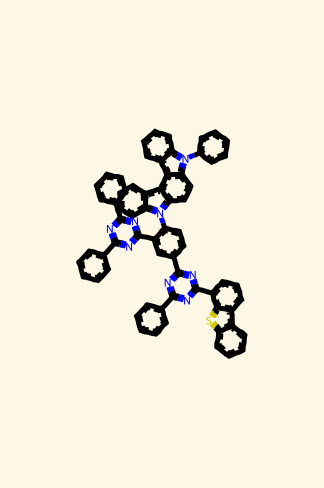 c1ccc(-c2nc(-c3ccccc3)nc(-c3cc(-c4nc(-c5ccccc5)nc(-c5cccc6c5sc5ccccc56)n4)ccc3-n3c4ccccc4c4c5c6ccccc6n(-c6ccccc6)c5ccc43)n2)cc1